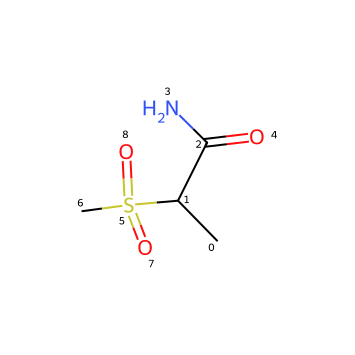 CC(C(N)=O)S(C)(=O)=O